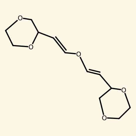 C(=CC1COCCO1)OC=CC1COCCO1